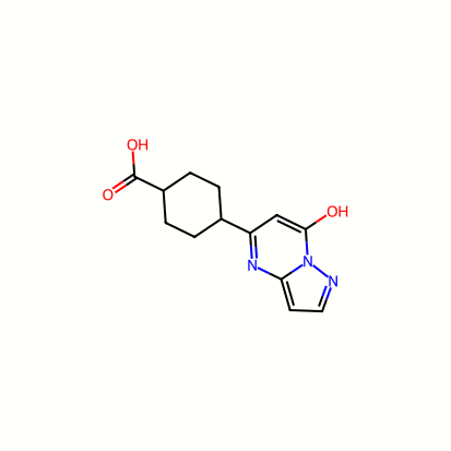 O=C(O)C1CCC(c2cc(O)n3nccc3n2)CC1